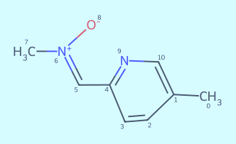 Cc1ccc(C=[N+](C)[O-])nc1